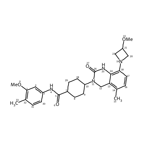 COc1cc(NC(=O)C2CCC(N3Cc4c(C)ccc(N5CC(OC)C5)c4NC3=O)CC2)ccc1C